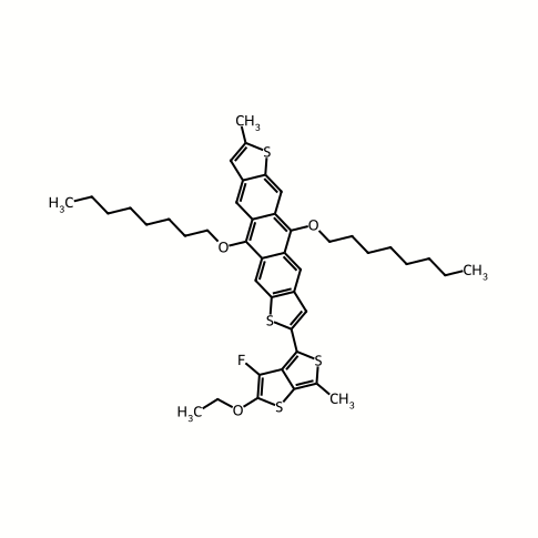 CCCCCCCCOc1c2cc3cc(-c4sc(C)c5sc(OCC)c(F)c45)sc3cc2c(OCCCCCCCC)c2cc3cc(C)sc3cc12